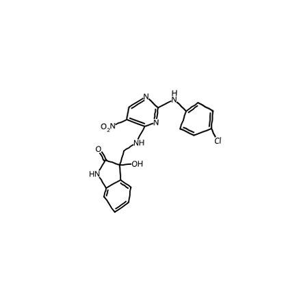 O=C1Nc2ccccc2C1(O)CNc1nc(Nc2ccc(Cl)cc2)ncc1[N+](=O)[O-]